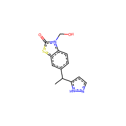 CC(c1ccc2c(c1)sc(=O)n2CO)c1ccn[nH]1